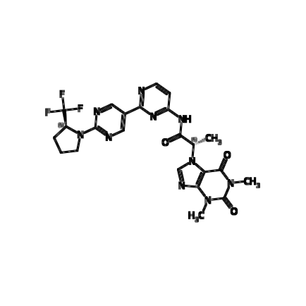 C[C@@H](C(=O)Nc1ccnc(-c2cnc(N3CCC[C@H]3C(F)(F)F)nc2)n1)n1cnc2c1c(=O)n(C)c(=O)n2C